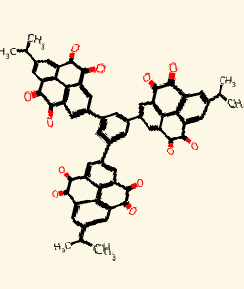 CC(C)c1cc2c3c(c1)c(=O)c(=O)c1cc(-c4cc(-c5cc6c7c(c5)c(=O)c(=O)c5cc(C(C)C)cc(c5-7)c(=O)c6=O)cc(-c5cc6c7c(c5)c(=O)c(=O)c5cc(C(C)C)cc(c5-7)c(=O)c6=O)c4)cc(c1-3)c(=O)c2=O